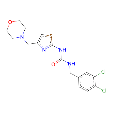 O=C(NCc1ccc(Cl)c(Cl)c1)Nc1nc(CN2CCOCC2)cs1